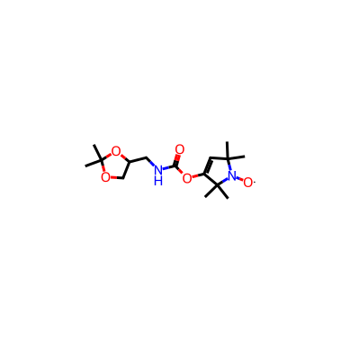 CC1(C)OCC(CNC(=O)OC2=CC(C)(C)N([O])C2(C)C)O1